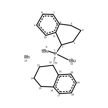 CC(C)(C)[P](C1CCCc2ccccc21)([C@H]1CCCc2ccccc21)C(C)(C)C.[Rh]